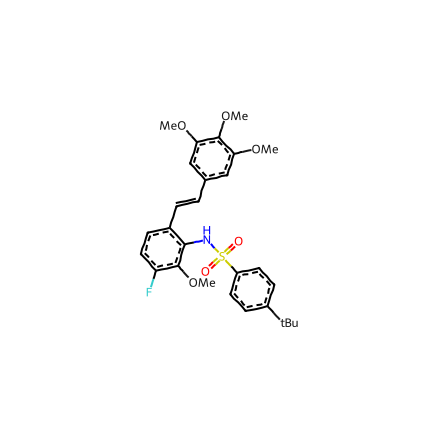 COc1cc(C=Cc2ccc(F)c(OC)c2NS(=O)(=O)c2ccc(C(C)(C)C)cc2)cc(OC)c1OC